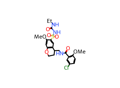 CCNC(=O)NS(=O)(=O)c1cc2c(cc1OC)OCCC2CNC(=O)c1cc(Cl)ccc1OC